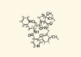 Cc1ccccc1CNC(=O)[C@H]1N(C(=O)[C@@H](O)[C@H](Cc2ccccc2)NC(=O)c2ccncc2Cl)CSC1(C)C